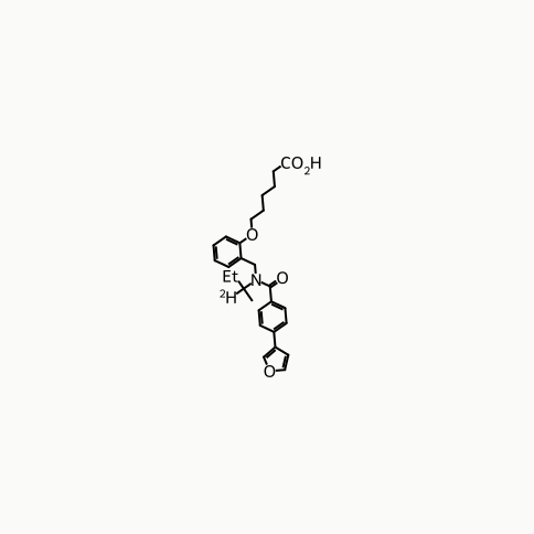 [2H]C(C)(CC)N(Cc1ccccc1OCCCCCC(=O)O)C(=O)c1ccc(-c2ccoc2)cc1